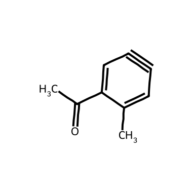 CC(=O)c1cc#ccc1C